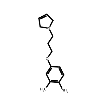 Cc1cc(OCCCN2CC=CC2)ccc1N